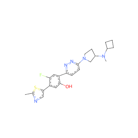 Cc1ncc(-c2cc(O)c(-c3ccc(N4CCC(N(C)C5CCC5)C4)nn3)cc2F)s1